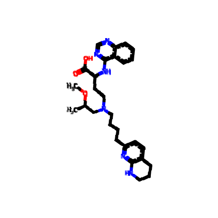 CO[C@H](C)CN(CCCCc1ccc2c(n1)NCCC2)CCC(Nc1ncnc2ccccc12)C(=O)O